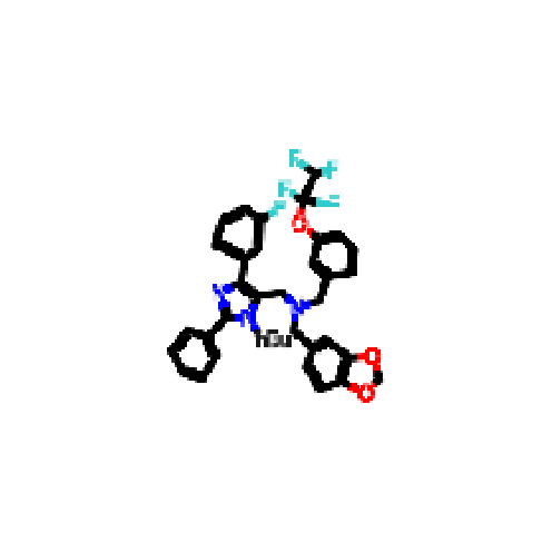 CCCCn1c(-c2ccccc2)nc(-c2cccc(F)c2)c1CN(Cc1cccc(OC(F)(F)C(F)F)c1)Cc1ccc2c(c1)OCO2